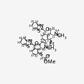 CCSc1cccc(C(OC2CCN(C)CC2)c2nc3ccccc3s2)c1.COC(=O)CSc1cccc(C(OC2CCN(C)CC2)c2nc3ccccc3s2)c1